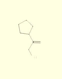 O=C(CO)C1CCCC1